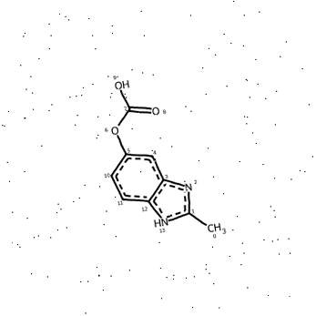 Cc1nc2cc(OC(=O)O)ccc2[nH]1